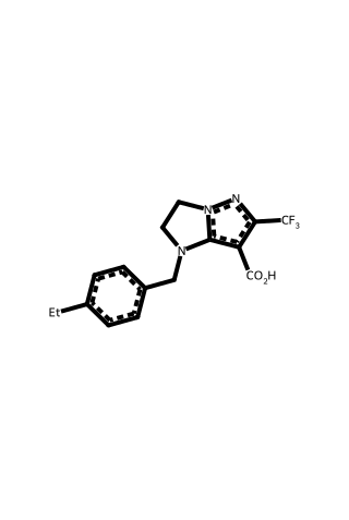 CCc1ccc(CN2CCn3nc(C(F)(F)F)c(C(=O)O)c32)cc1